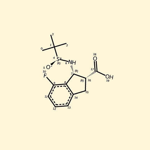 CC(C)(C)[S@+]([O-])N[C@H]1c2c(F)cccc2C[C@H]1C(=O)O